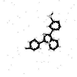 COc1cccc(-c2nc(-c3ccc(C)cc3)n3ccccc23)c1